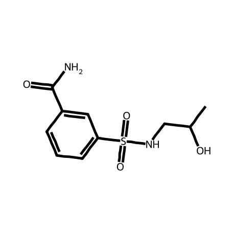 CC(O)CNS(=O)(=O)c1cccc(C(N)=O)c1